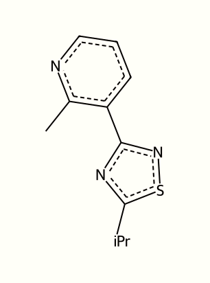 Cc1ncccc1-c1nsc(C(C)C)n1